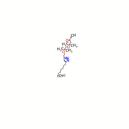 C#CC(=O)CC(C)(C)OCC(C)(C)OCCn1cc(CCCCCCCCCCCCCCCC)nn1